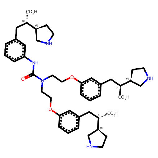 O=C(O)[C@@H](Cc1cccc(NC(=O)N(CCOc2cccc(C[C@H](C(=O)O)[C@H]3CCNC3)c2)CCOc2cccc(C[C@H](C(=O)O)[C@H]3CCNC3)c2)c1)[C@H]1CCNC1